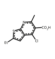 CCc1cc2c(Cl)c(C(=O)O)c(C)nc2s1